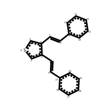 C(=Cc1cscc1C=Cc1ccccc1)c1ccccc1